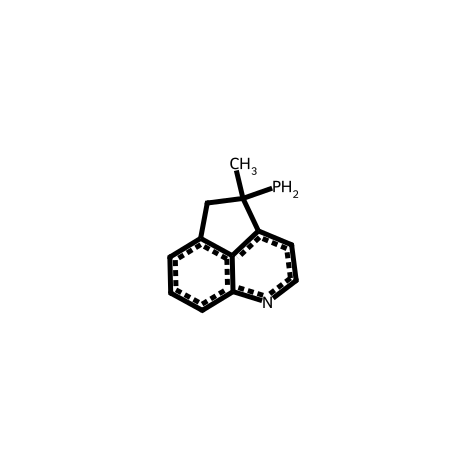 CC1(P)Cc2cccc3nccc1c23